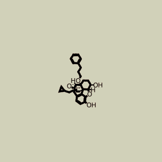 [O-][N+]1(CC2CC2)CC[C@]23c4c5ccc(O)c4O[C@H]2[C@H](O)CC[C@@]3(OCCCc2ccccc2)[C@H]1C5